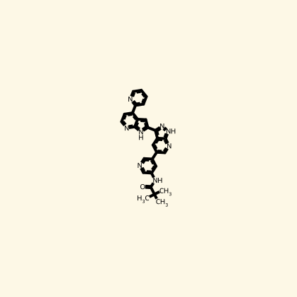 CC(C)(C)C(=O)Nc1cncc(-c2cnc3[nH]nc(-c4cc5c(-c6ccccn6)ccnc5[nH]4)c3c2)c1